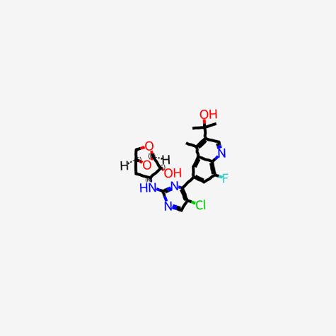 Cc1c(C(C)(C)O)cnc2c(F)cc(-c3nc(N[C@@H]4C[C@H]5CO[C@H](O5)[C@H]4O)ncc3Cl)cc12